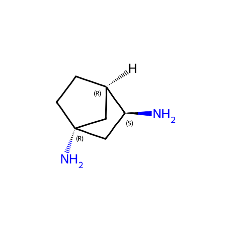 N[C@H]1C[C@@]2(N)CC[C@@H]1C2